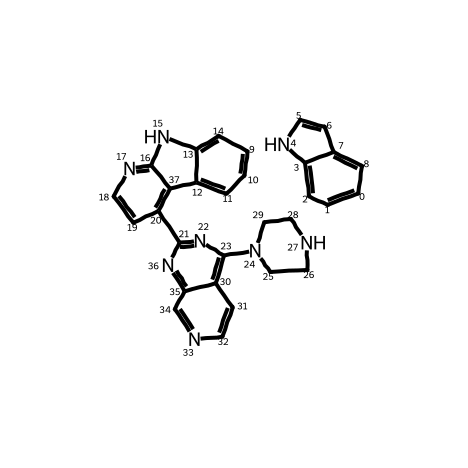 c1ccc2[nH]ccc2c1.c1ccc2c(c1)[nH]c1nccc(-c3nc(N4CCNCC4)c4ccncc4n3)c12